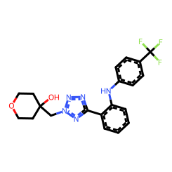 OC1(Cn2nnc(-c3ccccc3Nc3ccc(C(F)(F)F)cc3)n2)CCOCC1